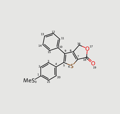 CSc1ccc(-c2sc3c(c2-c2ccccc2)COC3=O)cc1